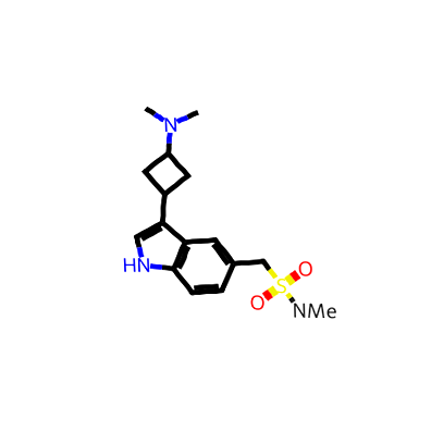 CNS(=O)(=O)Cc1ccc2[nH]cc(C3CC(N(C)C)C3)c2c1